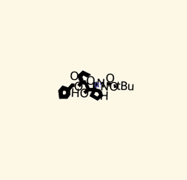 CC(C)(C)OC(=O)N/N=C\C1(C(O)c2occc(=O)c2OCc2ccccc2)CCCC1